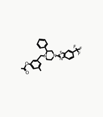 CC(=O)Oc1cc(C)cc(CN2CCN(c3nc4ccc(C(F)(F)F)cc4s3)CC2c2ccccc2)c1